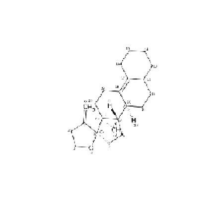 C=C1CCO[C@@]12CC[C@H]1[C@@H]3CCC4CCCCC4=C3CC[C@@]12C